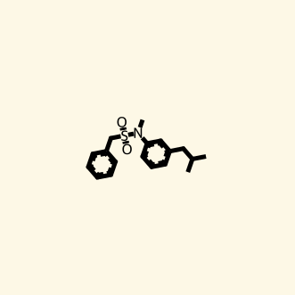 CC(C)Cc1cccc(N(C)S(=O)(=O)Cc2ccccc2)c1